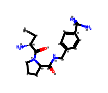 CC(C)C[C@@H](N)C(=O)N1CCCC1C(=O)NCc1ccc(C(=N)N)cc1